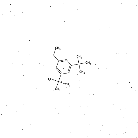 CCc1cc(C(C)(C)C)[c]c(C(C)(C)C)c1